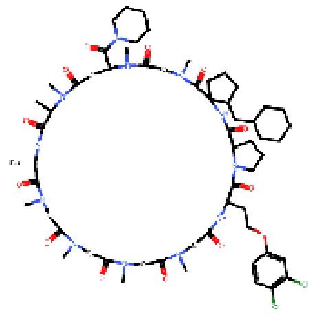 CC[C@H](C)C1NC(=O)C(C)N(C)C(=O)CC(C(=O)N2CCCCC2)N(C)C(=O)CN(C)C(=O)C2(CCCC2CC2CCCCC2)NC(=O)C2CCCN2C(=O)C(CCOc2ccc(Cl)c(Cl)c2)NC(=O)CN(C)C(=O)CN(C)C(=O)CN(C)C(=O)CN(C)C1=O